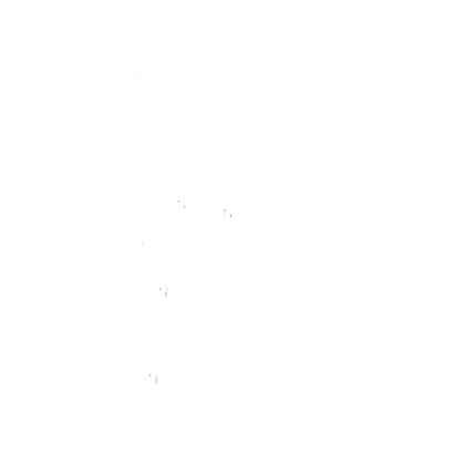 COc1ccc(-c2cn(-c3ccc(F)cc3)c(CC(=O)N3CCc4nc(C)oc4C3)n2)cc1